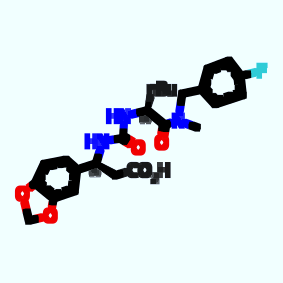 CCCC[C@H](NC(=O)N[C@@H](CC(=O)O)c1ccc2c(c1)OCO2)C(=O)N(C)Cc1ccc(F)cc1